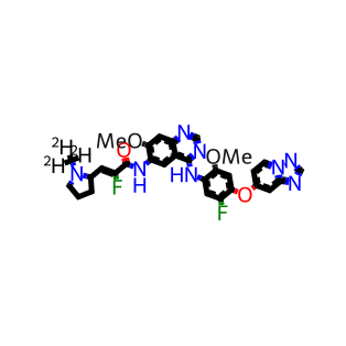 [2H]C([2H])([2H])N1CCCC1C=C(F)C(=O)Nc1cc2c(Nc3cc(F)c(Oc4ccn5ncnc5c4)cc3OC)ncnc2cc1OC